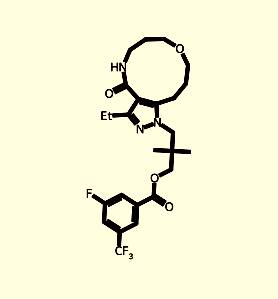 CCc1nn(CC(C)(C)COC(=O)c2cc(F)cc(C(F)(F)F)c2)c2c1C(=O)NCCCOCCC2